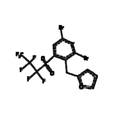 O=S(=O)(c1cc(Br)[c]c(Br)c1Cc1ccco1)C(F)(F)C(F)(F)C(F)(F)F